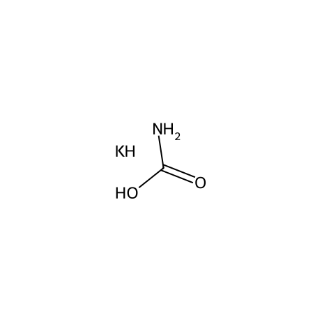 NC(=O)O.[KH]